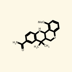 COc1cccc2c1C1Nc3ccc(C(N)=O)cc3C(C)(C)C1CS2